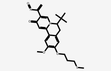 C=C(N=O)c1cn2c(cc1=O)-c1cc(OC)c(OCCCSC)cc1CC2C(C)(C)C